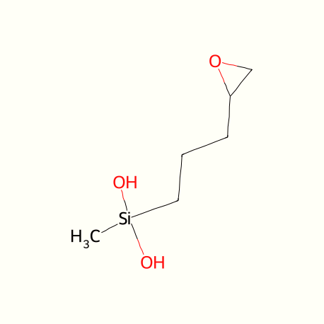 C[Si](O)(O)CCCC1CO1